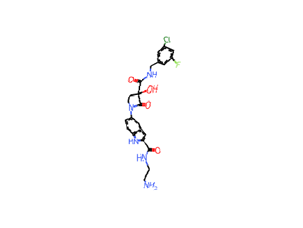 NCCNC(=O)c1cc2cc(N3CCC(O)(C(=O)NCc4cc(F)cc(Cl)c4)C3=O)ccc2[nH]1